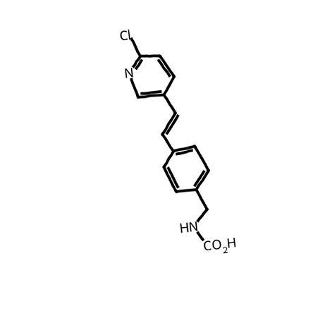 O=C(O)NCc1ccc(C=Cc2ccc(Cl)nc2)cc1